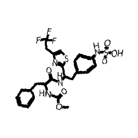 COC(=O)NC(Cc1ccccc1)C(=O)NC(Cc1ccc(NS(=O)(=O)O)cc1)c1nc(CC(F)(F)F)cs1